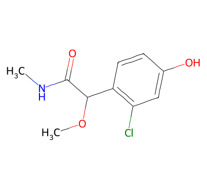 CNC(=O)C(OC)c1ccc(O)cc1Cl